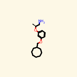 C[C@@H](CN)Oc1cccc(OCC2CCCCCCC2)c1